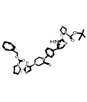 CC(C)(C)OC(=O)N1CCC[C@H]1c1ncc(-c2ccc(N3CCN(c4cnc([C@@H]5CCCN5C(=O)OCc5ccccc5)[nH]4)CC3=O)cc2)[nH]1